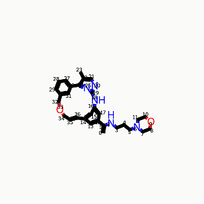 C=C(NCCCN1CCOCC1)c1cc2cc(c1)Nc1ncc(C)c(n1)-c1cccc(c1)COC/C=C/2